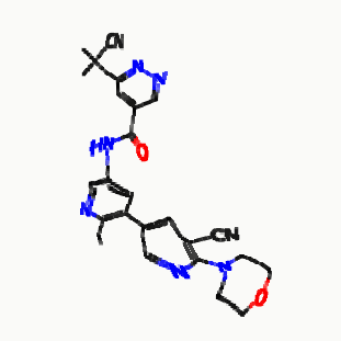 Cc1ncc(NC(=O)c2cnnc(C(C)(C)C#N)c2)cc1-c1cnc(N2CCOCC2)c(C#N)c1